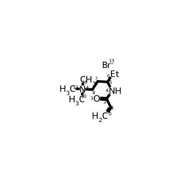 C=CC(=O)NC(CC)CC[N+](C)(C)C.[Br-]